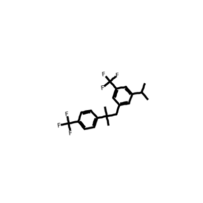 CC(C)c1cc(CC(C)(C)c2ccc(C(F)(F)F)cc2)cc(C(F)(F)F)c1